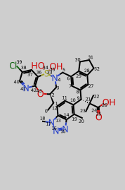 CC[C@@H]1CN(Cc2cc([C@@H](c3ccc4c(nnn4C)c3C)C(C)(C)C(=O)O)cc3c2CCC3)S(O)(O)c2cc(Cl)cnc2O1